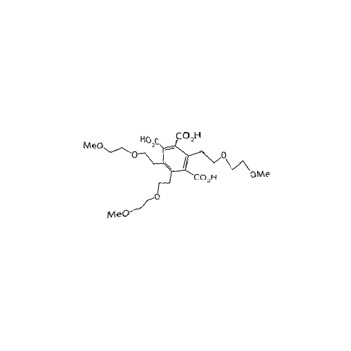 COCCOCCc1c(CCOCCOC)c(C(=O)O)c(C(=O)O)c(CCOCCOC)c1C(=O)O